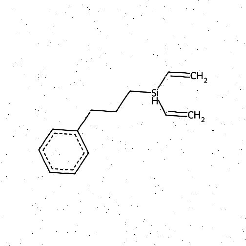 C=C[SiH](C=C)CCCc1ccccc1